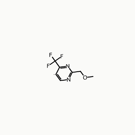 COCc1nc[c]c(C(F)(F)F)n1